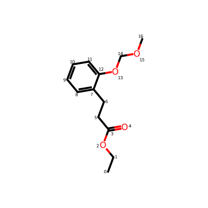 CCOC(=O)CCc1ccccc1OCOC